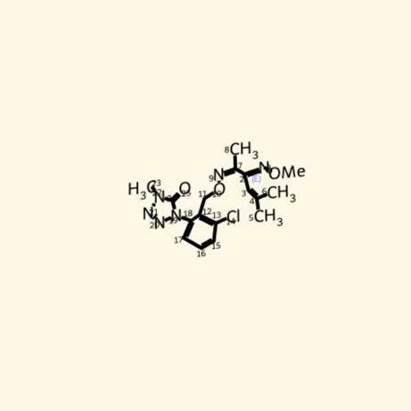 CO/N=C(\C=C(C)C)C(C)=NOCc1c(Cl)cccc1-n1nnn(C)c1=O